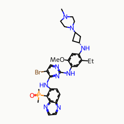 CCc1cc(Nc2ncc(Br)c(Nc3ccc4nccnc4c3P(C)(C)=O)n2)c(OC)cc1N[C@H]1C[C@H](N2CCN(C)CC2)C1